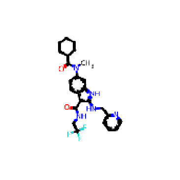 CN(C(=O)C1CCCCC1)c1ccc2c(C(=O)NCC(F)(F)F)c(NCc3ccccn3)[nH]c2c1